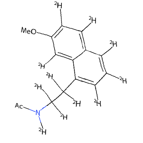 [2H]c1c([2H])c(C([2H])([2H])C([2H])([2H])N([2H])C(C)=O)c2c([2H])c(OC)c([2H])c([2H])c2c1[2H]